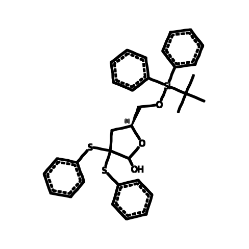 CC(C)(C)[Si](OC[C@@H]1CC(Sc2ccccc2)(Sc2ccccc2)C(O)O1)(c1ccccc1)c1ccccc1